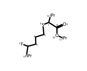 CCCC(F)CCCSC(C(=O)OC(C)C)C(C)C